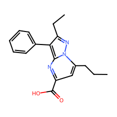 CCCc1cc(C(=O)O)nc2c(-c3ccccc3)c(CC)nn12